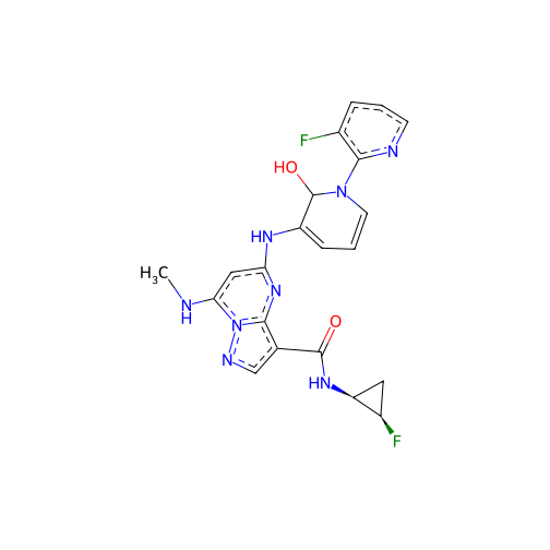 CNc1cc(NC2=CC=CN(c3ncccc3F)C2O)nc2c(C(=O)N[C@H]3C[C@H]3F)cnn12